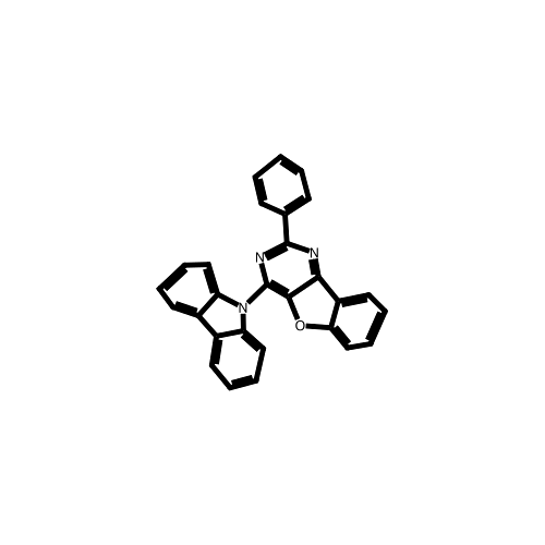 c1ccc(-c2nc(-n3c4ccccc4c4ccccc43)c3oc4ccccc4c3n2)cc1